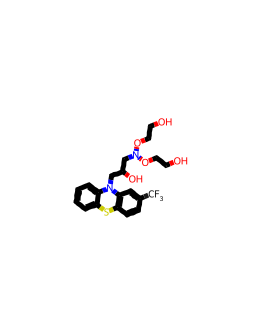 OCCON(CC(O)CN1c2ccccc2Sc2ccc(C(F)(F)F)cc21)OCCO